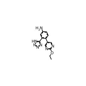 CCOc1ncc(-c2ccc(N)cc2-c2nnn[nH]2)cn1